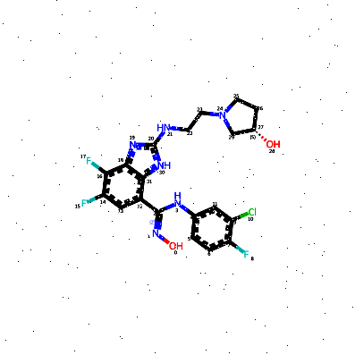 O/N=C(\Nc1ccc(F)c(Cl)c1)c1cc(F)c(F)c2nc(NCCN3CC[C@H](O)C3)[nH]c12